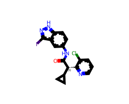 O=C(Nc1ccc2[nH]nc(I)c2c1)[C@H](c1ncccc1Cl)C1CC1